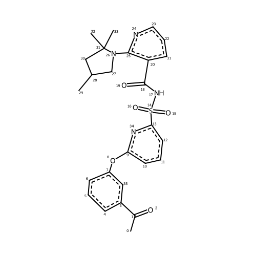 CC(=O)c1cccc(Oc2cccc(S(=O)(=O)NC(=O)c3cccnc3N3CC(C)CC3(C)C)n2)c1